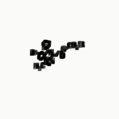 CCOC(=O)COC(=O)CC[C@@H]1N=C(c2ccccn2)c2cc(Br)ccc2-n2c(C)cnc21